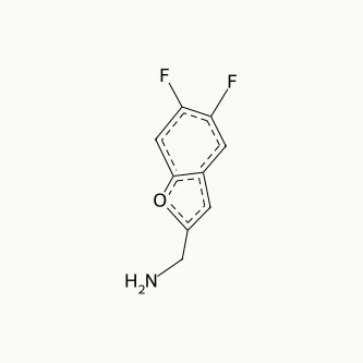 NCc1cc2cc(F)c(F)cc2o1